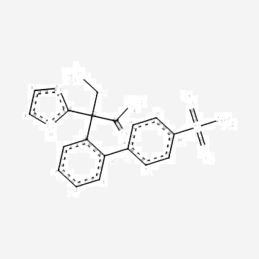 CCC(C(=O)O)(c1ncco1)c1ccccc1-c1ccc(S(N)(=O)=O)cc1